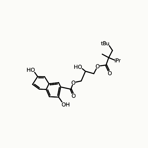 CC(C)C(C)(CC(C)(C)C)C(=O)OCC(O)COC(=O)c1cc2cc(O)ccc2cc1O